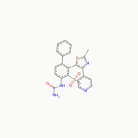 Cc1nc(-c2ccncc2)c(-c2c(-c3ccccc3)ccc(NC(N)=O)c2S(C)(=O)=O)s1